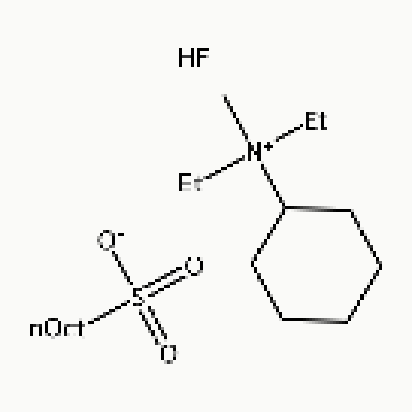 CCCCCCCCS(=O)(=O)[O-].CC[N+](C)(CC)C1CCCCC1.F